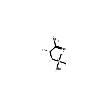 C[C@@H](O[Si](C)(C)C(C)(C)C)C(=N)N